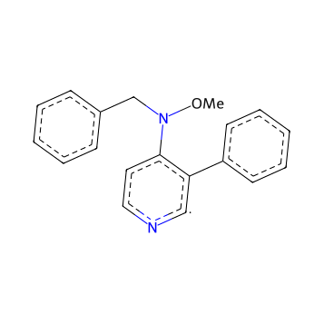 CON(Cc1ccccc1)c1ccn[c]c1-c1ccccc1